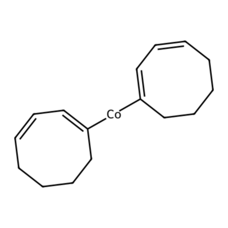 C1=CCCCC[C]([Co][C]2=CC=CCCCC2)=C1